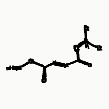 CCCCCCCOC(=O)N=NC(=O)O[SiH](CC)CC